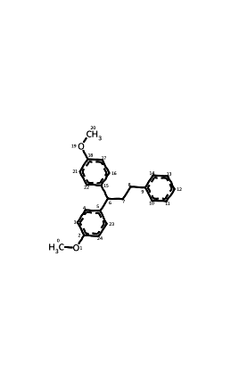 COc1ccc(C(CCc2ccccc2)c2ccc(OC)cc2)cc1